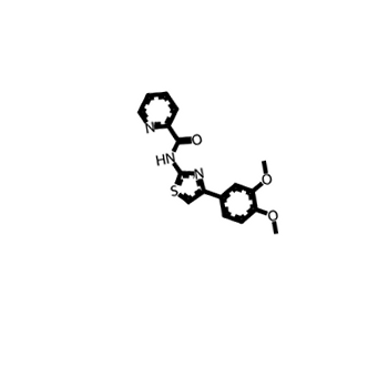 COc1ccc(-c2csc(NC(=O)c3ccccn3)n2)cc1OC